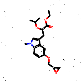 CCOC(=O)C(Cc1cn(C)c2ccc(OCC3CO3)cc12)OC(C)C